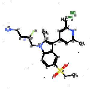 CCS(=O)(=O)c1ccc2c(c1)c(-c1cc(C)nc(C)c1)c(C)n2C/C(F)=C/CN.Cl.Cl